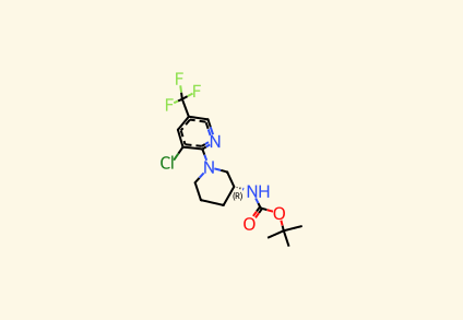 CC(C)(C)OC(=O)N[C@@H]1CCCN(c2ncc(C(F)(F)F)cc2Cl)C1